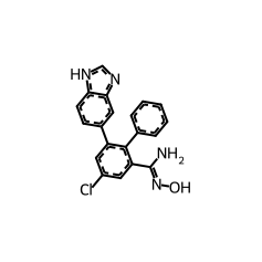 N/C(=N\O)c1cc(Cl)cc(-c2ccc3[nH]cnc3c2)c1-c1ccccc1